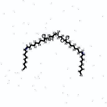 CCCCCCCC/C=C\CCCCCCCC(=O)NCCCN(C)CCOC(=O)CCCCCCC/C=C\CCCCCCCC